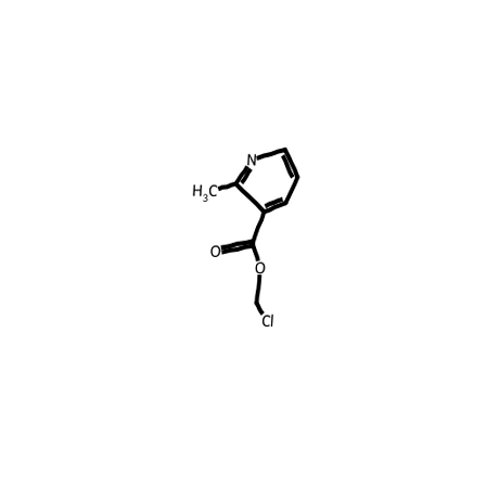 Cc1ncccc1C(=O)OCCl